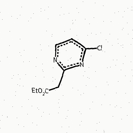 CCOC(=O)Cc1nccc(Cl)n1